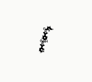 Cc1ccc(C(=O)N2CC(c3ccc(NC(=O)N4CC(c5cccnc5)C4)cc3)C2)s1